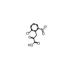 O=C(O)C(=O)Cc1c(Cl)cccc1[N+](=O)[O-]